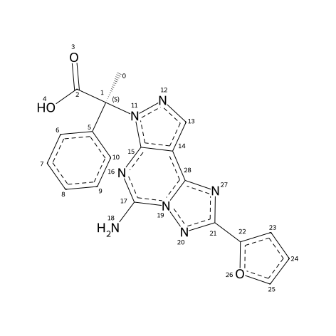 C[C@@](C(=O)O)(c1ccccc1)n1ncc2c1nc(N)n1nc(-c3ccco3)nc21